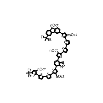 CCCCCCCCc1cc(-c2ccc3c(c2)-c2cc(C(C)(CC)CC)ccc2C3CCCCCCCC)sc1-c1ccc(-c2ccc(-c3sc(-c4ccc(-c5cc(CCCCCCCC)c(-c6ccc(-c7ccc(-c8sc(C(C)(CC)CC)cc8CCCCCCCC)s7)s6)s5)c5nsnc45)cc3CCCCCCCC)s2)s1